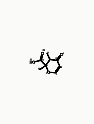 CC1C(=O)C=COC1(C)C(=O)O